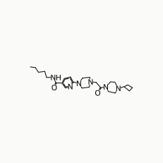 CCCCCNC(=O)c1ccc(N2CCN(CC(=O)N3CCN(C4CCC4)CC3)CC2)nc1